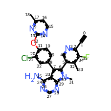 C#Cc1ncc(-c2c(-c3ccc(Oc4nccc(C)n4)c(Cl)c3)c3c(N)ncnc3n2C)c(C)c1F